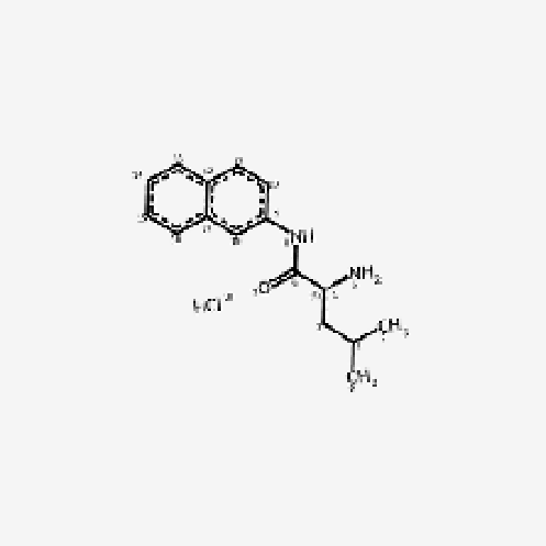 CC(C)C[C@H](N)C(=O)Nc1ccc2ccccc2c1.Cl